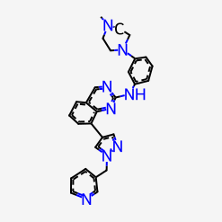 CN1CCN(c2cccc(Nc3ncc4cccc(-c5cnn(Cc6cccnc6)c5)c4n3)c2)CC1